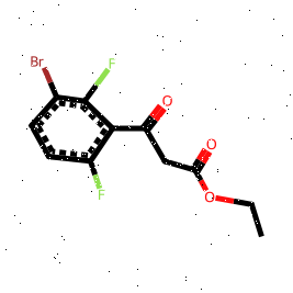 CCOC(=O)CC(=O)c1c(F)ccc(Br)c1F